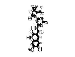 COc1cc2[nH]c(=O)c([C@H](C)Nc3nc(C)nc(N4C(=O)OC5(CC5)C4[C@H](C)F)n3)cc2cc1Cl